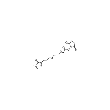 C=C(C)C(=O)NCCCOCCOCC(=O)ON1C(=O)CCC1=O